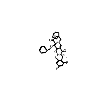 C[C@@H](NC(=O)c1cn2c(c(OCc3ccccc3)c1=O)C(=O)N1C3CCC1(CC3)C2)c1c(F)cc(F)cc1F